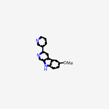 COc1ccc2[nH]c3cnc(-c4cccnc4)cc3c2c1